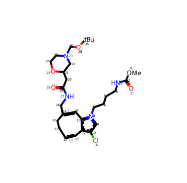 COC(=O)NCCCCn1cc(Cl)c2c1/C=C(/CNC(=O)CC1CN(COC(C)(C)C)CCO1)CC/C=C\2